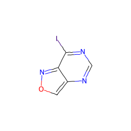 Ic1ncnc2conc12